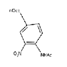 CCCCCCCCc1ccc(NC(C)=O)c([N+](=O)[O-])c1